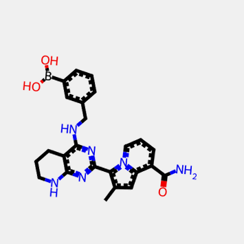 Cc1cc2c(C(N)=O)cccn2c1-c1nc2c(c(NCc3cccc(B(O)O)c3)n1)CCCN2